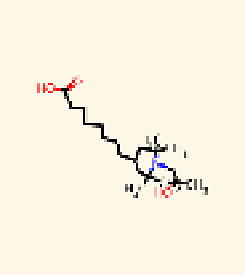 CC(O)CN1C(C)(C)CC(CCCCCCCC(=O)O)CC1(C)C